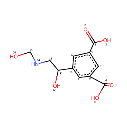 O=C(O)c1cc(C(=O)O)cc(C(O)CNCO)c1